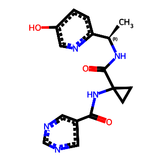 C[C@@H](NC(=O)C1(NC(=O)c2cncnc2)CC1)c1ccc(O)cn1